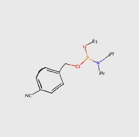 CCOP(OCc1ccc(C#N)cc1)N(C(C)C)C(C)C